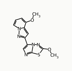 COc1nn2c(-c3cc4c(OC)cccn4n3)cnc2s1